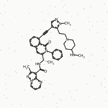 CNC1CCN(CCc2c(C#Cc3cccc4cc([C@H](C)NC(=O)c5c(C)nn6cccnc56)n(-c5ccccc5)c(=O)c34)cnn2C)CC1